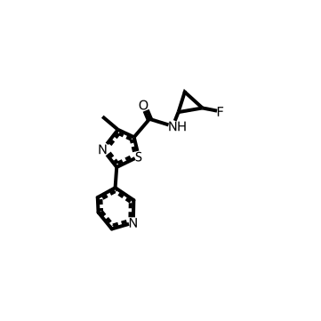 Cc1nc(-c2cccnc2)sc1C(=O)NC1CC1F